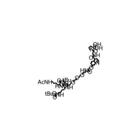 CC(=O)NCCCCC(NC(=O)C(CCCCNC(=O)OC(C)(C)C)NC(=O)CCOCCOCCOCCNC(=O)COc1ccc2c(C(=O)NCC(=O)N3CCCC3B(O)O)ccnc2c1)C(=O)OC(C)(C)C